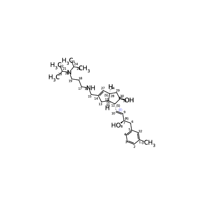 Cc1cccc(C[C@@H](O)/C=C/[C@@H]2[C@H]3CC(CNCCCN(C(C)C)C(C)C)=C[C@H]3C[C@H]2O)c1